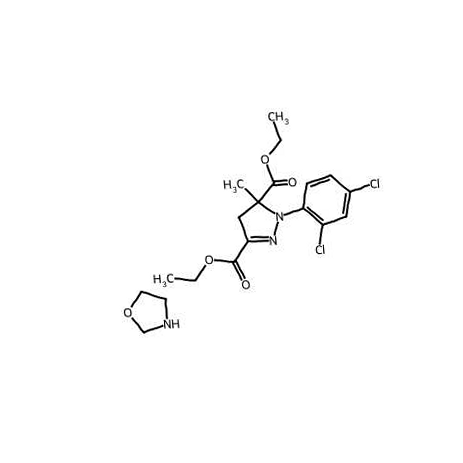 C1COCN1.CCOC(=O)C1=NN(c2ccc(Cl)cc2Cl)C(C)(C(=O)OCC)C1